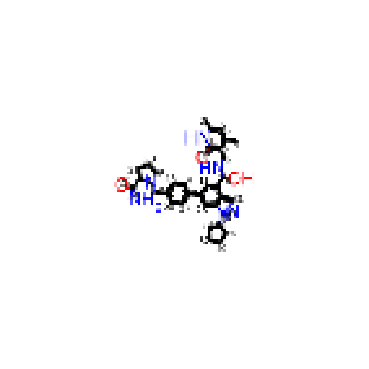 Cc1cc(C)c(CNC(O)c2cc(-c3ccc(CN4CCC[C@@H]4C(N)=O)cc3)cc3c2cnn3C2CCCC2)c(=O)[nH]1